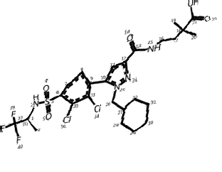 C[C@H](NS(=O)(=O)c1ccc(-c2cc(C(=O)NCCC(C)(C)C(=O)O)nn2CC2CCCCC2)c(Cl)c1Cl)C(F)(F)F